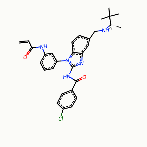 C=CC(=O)Nc1cccc(-n2c(NC(=O)c3ccc(Cl)cc3)nc3cc(CN[C@@H](C)C(C)(C)C)ccc32)c1